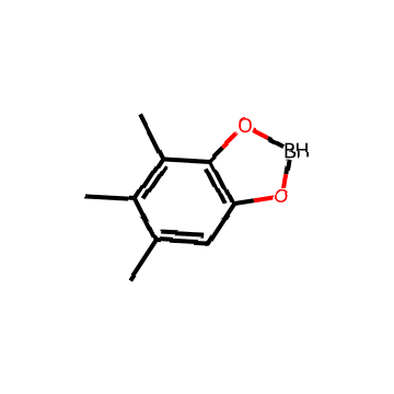 Cc1cc2c(c(C)c1C)OBO2